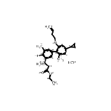 C=CCCOc1cc(C2CC2)cc(C)c1-c1cc(C)c(F)c([C@@H](N)CC(=O)OCC)c1.Cl